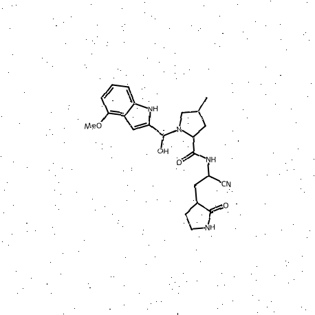 COc1cccc2[nH]c(C(O)N3CC(C)CC3C(=O)NC(C#N)CC3CCNC3=O)cc12